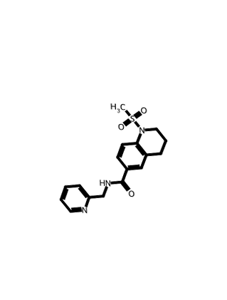 CS(=O)(=O)N1CCCc2cc(C(=O)NCc3ccccn3)ccc21